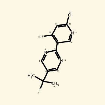 CC(C)(F)c1cnc(-c2cnc(Cl)cc2F)nc1